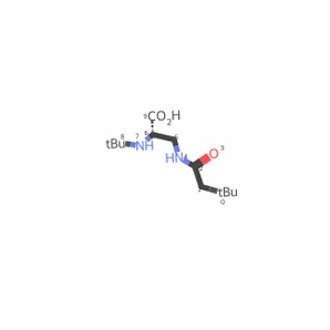 CC(C)(C)CC(=O)NC[C@H](NC(C)(C)C)C(=O)O